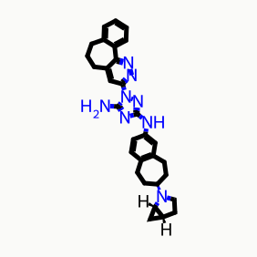 Nc1nc(Nc2ccc3c(c2)CC[C@@H](N2CC[C@@H]4C[C@@H]42)CC3)nn1-c1cc2c(nn1)-c1ccccc1CCC2